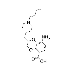 CCCCN1CCC(CC2COc3c(C(=O)O)ccc(N)c3O2)CC1